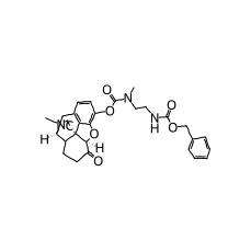 CN(CCNC(=O)OCc1ccccc1)C(=O)Oc1ccc2c3c1O[C@H]1C(=O)CCC4[C@@H](C2)N(C)CC[C@@]341